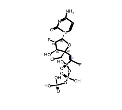 Nc1ccn([C@@H]2O[C@@](/C=C(/F)P(=O)(O)OP(=O)(O)OP(=O)(O)O)(CCl)[C@@H](O)[C@H]2F)c(=O)n1